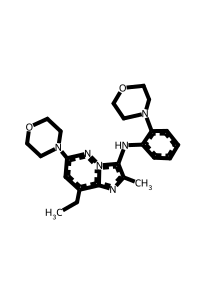 CCc1cc(N2CCOCC2)nn2c(Nc3ccccc3N3CCOCC3)c(C)nc12